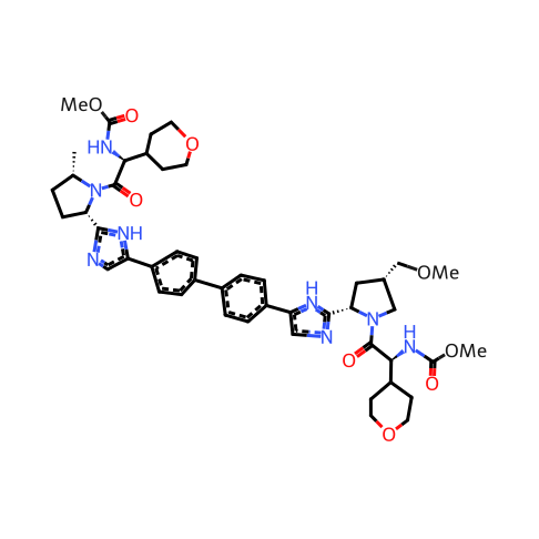 COC[C@H]1C[C@@H](c2ncc(-c3ccc(-c4ccc(-c5cnc([C@@H]6CC[C@H](C)N6C(=O)[C@@H](NC(=O)OC)C6CCOCC6)[nH]5)cc4)cc3)[nH]2)N(C(=O)[C@@H](NC(=O)OC)C2CCOCC2)C1